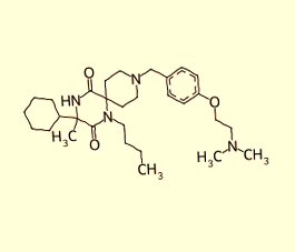 CCCCN1C(=O)C(C)(C2CCCCC2)NC(=O)C12CCN(Cc1ccc(OCCN(C)C)cc1)CC2